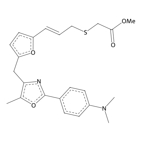 COC(=O)CSCC=Cc1ccc(Cc2nc(-c3ccc(N(C)C)cc3)oc2C)o1